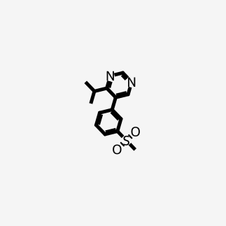 CC(C)c1ncncc1-c1cccc(S(C)(=O)=O)c1